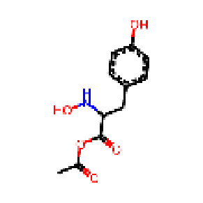 CC(=O)OC(=O)C(Cc1ccc(O)cc1)NO